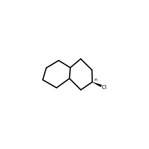 Cl[C@@H]1CCC2CCCCC2C1